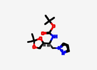 CC(C)(C)OC(=O)N[C@H](Cn1cccn1)[C@H]1COC(C)(C)O1